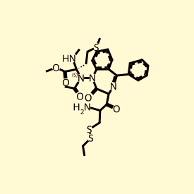 CCSSCC(N)C(=O)C1N=C(c2ccccc2)c2ccccc2N(N(C(C)=O)[C@](CCSC)(NC)C(=O)OC)C1=O